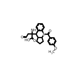 COc1ccc(C(=O)N2c3ccccc3C(C(N)(CC=O)C(=O)O)C3CCCC32)cc1